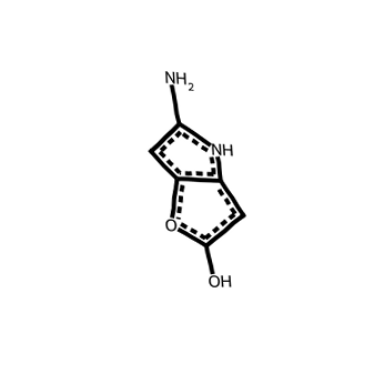 Nc1cc2oc(O)cc2[nH]1